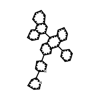 c1ccc(-c2c3ccccc3c(-c3cc4ccccc4c4ccccc34)c3ccc(-c4ccc(-c5ccccn5)nc4)cc23)cc1